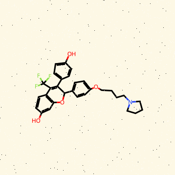 Oc1ccc(C2=C(C(F)(F)F)c3ccc(O)cc3OC2c2ccc(OCCCCN3CCCC3)cc2)cc1